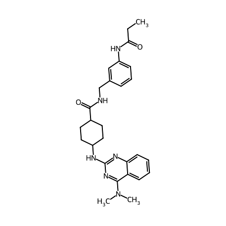 CCC(=O)Nc1cccc(CNC(=O)C2CCC(Nc3nc(N(C)C)c4ccccc4n3)CC2)c1